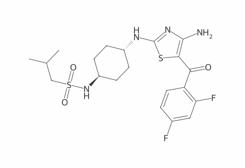 CC(C)CS(=O)(=O)N[C@H]1CC[C@H](Nc2nc(N)c(C(=O)c3ccc(F)cc3F)s2)CC1